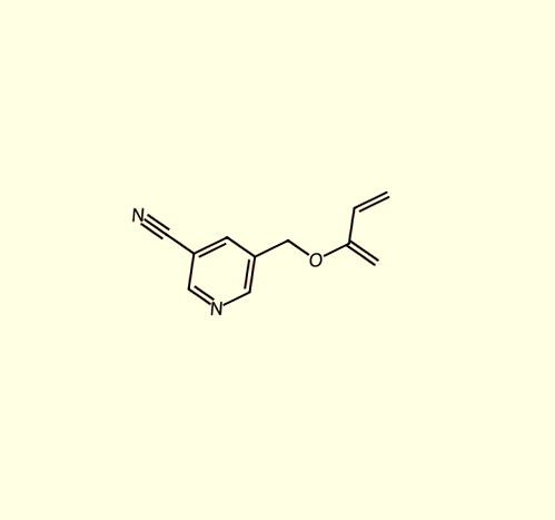 C=CC(=C)OCc1cncc(C#N)c1